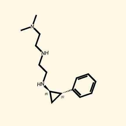 CN(C)CCNCCN[C@@H]1C[C@H]1c1ccccc1